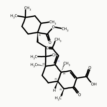 COC(=O)[C@]1(CCC(C)(C)[C@]2(C)CC[C@H]3[C@H](C)C(=O)C(C(=O)O)=C[C@]3(C)/C2=C/C(C)=O)CCC(C)(C)CC1C